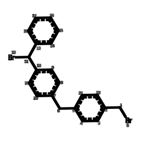 BrCc1ccc(Cc2ccc(C(Br)c3ccccc3)cc2)cc1